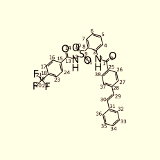 O=C(Nc1ccccc1S(=O)(=O)NC(=O)c1ccc(C(F)(F)F)cc1)c1ccc(/C=C/c2ccccc2)cc1